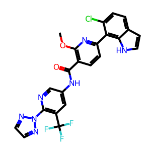 COc1nc(-c2c(Cl)ccc3cc[nH]c23)ccc1C(=O)Nc1cnc(-n2nccn2)c(C(F)(F)F)c1